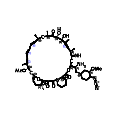 CO[C@H]1C[C@@H]2CC[C@@H](C)[C@@](O)(O2)C(=O)C(=O)N2CCCC[C@H]2C(=O)O[C@H]([C@H](N)C[C@@H]2CCC(N=[N+]=[N-])[C@H](OC)C2)CC(=N)[C@H](C)/C=C(\C)[C@@H](O)[C@@H](O)C(=O)[C@H](C)C[C@H](C)/C=C/C=C/C=C/1C